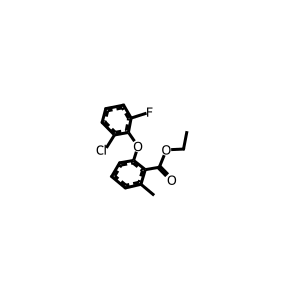 CCOC(=O)c1c(C)cccc1Oc1c(F)cccc1Cl